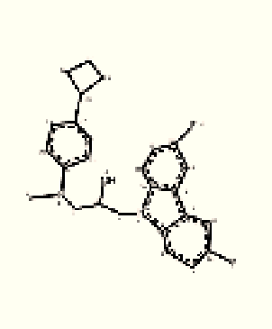 CN(CC(O)Cn1c2ccc(F)cc2c2cc(F)ccc21)c1ccc(C2CCC2)cc1